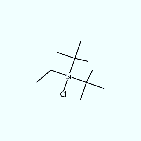 CC[Si](Cl)(C(C)(C)C)C(C)(C)C